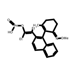 CC/C(O[PH](=O)O)=C(/CC)c1ccc2ccccc2c1C1=C(C)CCC/C1=N\OC